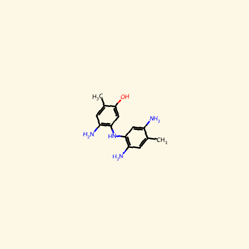 Cc1cc(N)c(Nc2cc(O)c(C)cc2N)cc1N